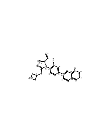 O=CC1NN=C(CC2CNC2)N1c1ccc(-c2ccc3cccnc3c2)cc1F